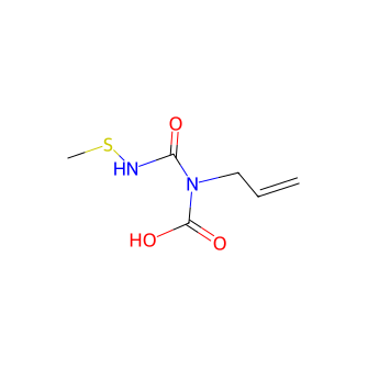 C=CCN(C(=O)O)C(=O)NSC